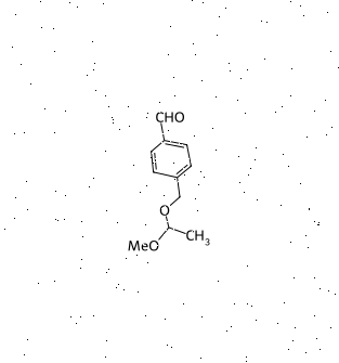 COC(C)OCc1ccc(C=O)cc1